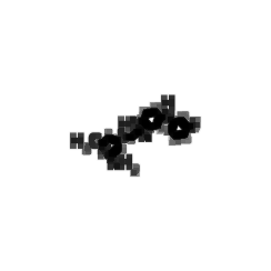 Cc1cc(SCc2nc3cc(Nc4cccc(F)c4)ccc3[nH]2)cc(N)n1